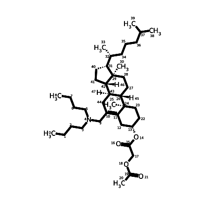 CCCCN(CCCC)CC1=C2C[C@@H](OC(=O)COC(C)=O)CC[C@]2(C)[C@H]2CC[C@]3(C)[C@@H]([C@H](C)CCCC(C)C)CC[C@H]3[C@@H]2C1